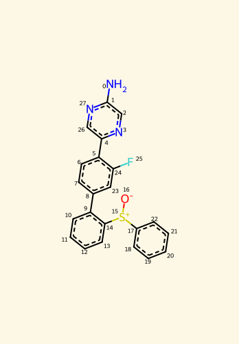 Nc1cnc(-c2ccc(-c3ccccc3[S+]([O-])c3ccccc3)cc2F)cn1